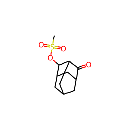 CS(=O)(=O)OC1C2CC3CC(C2)C(=O)C1C3